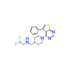 FC(F)CNCC1CCN(c2ncnc3scc(-c4ccccc4)c23)CC1